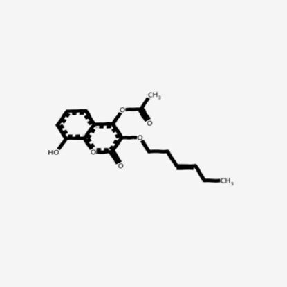 CCC=CCCOc1c(OC(C)=O)c2cccc(O)c2oc1=O